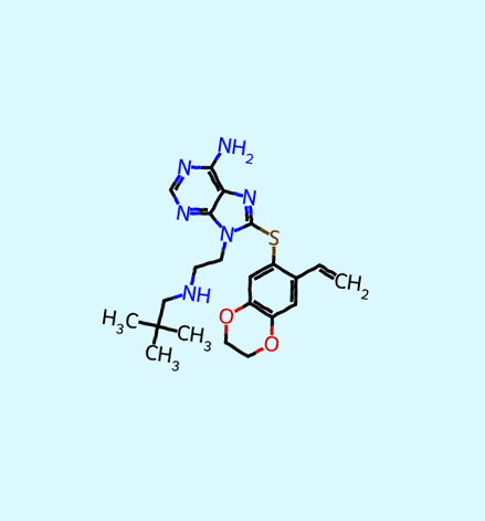 C=Cc1cc2c(cc1Sc1nc3c(N)ncnc3n1CCNCC(C)(C)C)OCCO2